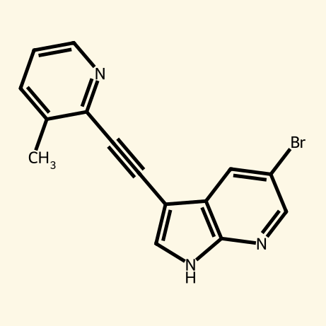 Cc1cccnc1C#Cc1c[nH]c2ncc(Br)cc12